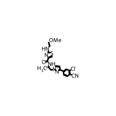 COCCNc1nc(C(=O)N[C@@H](C)Cn2ccc(-c3ccc(C#N)c(Cl)c3)n2)cs1